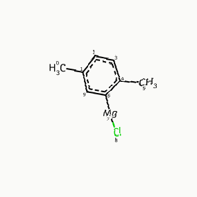 Cc1ccc(C)[c]([Mg][Cl])c1